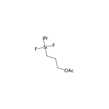 CC(=O)OCCC[Si](F)(F)C(C)C